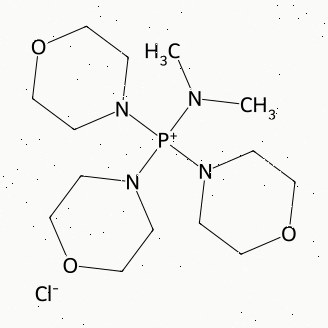 CN(C)[P+](N1CCOCC1)(N1CCOCC1)N1CCOCC1.[Cl-]